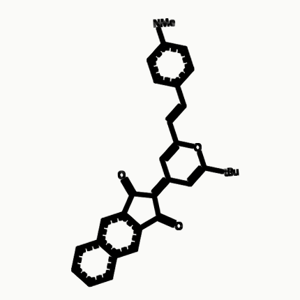 CNc1ccc(C=CC2=CC(=C3C(=O)c4cc5ccccc5cc4C3=O)C=C(C(C)(C)C)O2)cc1